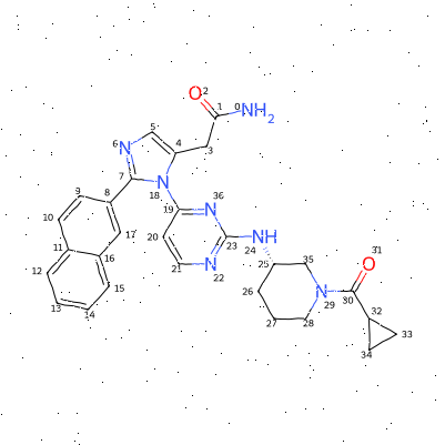 NC(=O)Cc1cnc(-c2ccc3ccccc3c2)n1-c1ccnc(N[C@H]2CCCN(C(=O)C3CC3)C2)n1